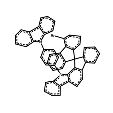 Brc1cccc2c1-c1ccccc1C21c2ccccc2-c2ccc3c4ccccc4n(-c4ccc(-n5c6ccccc6c6ccccc65)cc4)c3c21